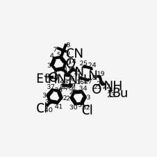 CCOc1ccc(C(C)(C)C#N)cc1C1(C(=O)N2CCN(CC(=O)NC(C)(C)C)CC2)N[C@H](c2ccc(Cl)cc2)[C@H](c2ccc(Cl)cc2)N1